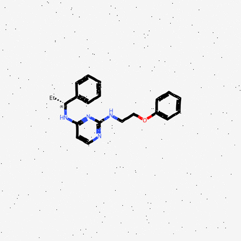 CC[C@@H](Nc1ccnc(NCCOc2ccccc2)n1)c1ccccc1